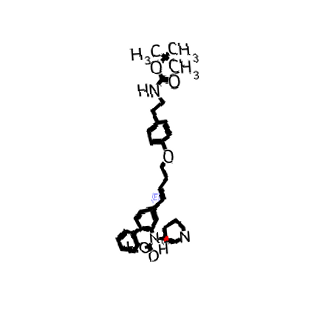 CC(C)(C)OC(=O)NCCc1ccc(OCC/C=C/c2ccc(-c3ccccc3)c(N(C(=O)O)[C@H]3CN4CCC3CC4)c2)cc1